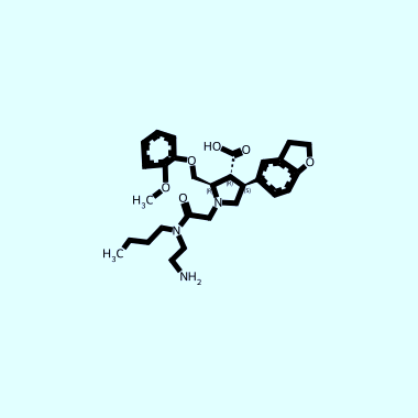 CCCCN(CCN)C(=O)CN1C[C@H](c2ccc3c(c2)CCO3)[C@@H](C(=O)O)[C@@H]1COc1ccccc1OC